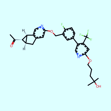 CC(=O)[C@H]1[C@@H]2Cc3cc(OCc4cc(-c5cnc(OCCCC(C)(C)O)cc5C(F)(F)F)ccc4F)ncc3[C@@H]21